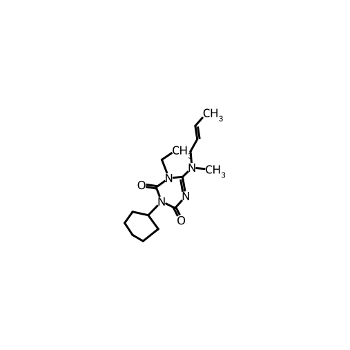 C/C=C/CN(C)c1nc(=O)n(C2CCCCC2)c(=O)n1CC